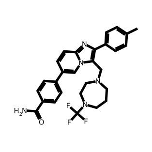 Cc1ccc(-c2nc3ccc(-c4ccc(C(N)=O)cc4)cn3c2CN2CCCN(C(F)(F)F)CC2)cc1